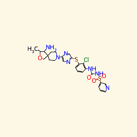 C[C@@H]1OCC2(CCN(c3cnc(Sc4cccc(NC(=O)NS(=O)(=O)c5cccnc5)c4Cl)cn3)CC2)[C@@H]1N